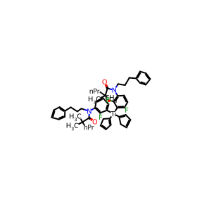 CCCC(C)(C)C(=O)N(CCCc1ccccc1)c1ccc(F)[c]([Ti]([C]2=CC=CC2)([C]2=CC=CC2)[c]2c(F)ccc(N(CCCc3ccccc3)C(=O)C(C)(C)CCC)c2F)c1F